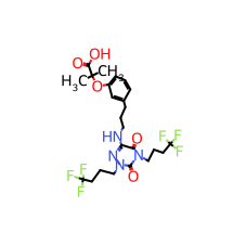 CC(C)(Oc1cccc(CCCNc2nn(CCCC(F)(F)F)c(=O)n(CCCC(F)(F)F)c2=O)c1)C(=O)O